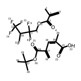 C=C(C)C(=O)OCC(F)(F)C(F)C(F)(F)F.C=C(C=C(C)C(=O)O)C(=O)OC(C)(C)C